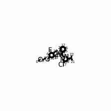 COCCOc1cc(F)c(Cn2nc(-c3nc(Cl)cc(C(C)C)n3)c3ccccc32)c(F)c1